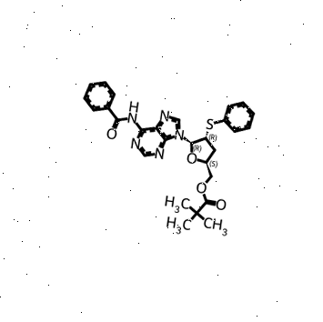 CC(C)(C)C(=O)OC[C@@H]1C[C@@H](Sc2ccccc2)[C@H](n2cnc3c(NC(=O)c4ccccc4)ncnc32)O1